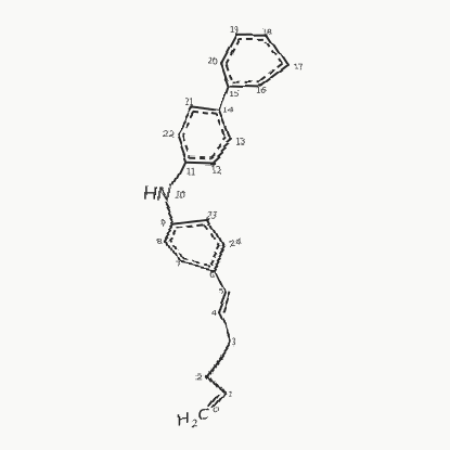 C=CCC/C=C/c1ccc(Nc2ccc(-c3ccccc3)cc2)cc1